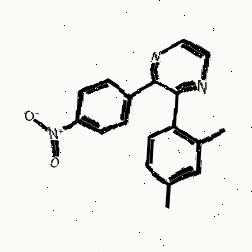 Cc1ccc(-c2nccnc2-c2ccc([N+](=O)[O-])cc2)c(C)c1